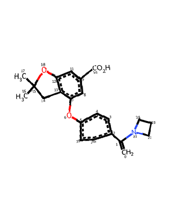 C=C(c1ccc(Oc2cc(C(=O)O)cc3c2CC(C)(C)O3)cc1)N1CCC1